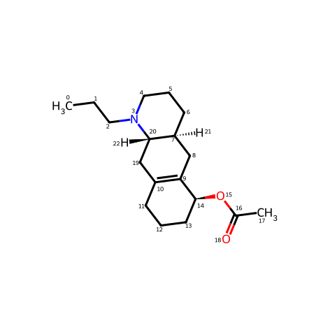 CCCN1CCC[C@H]2CC3=C(CCC[C@@H]3OC(C)=O)C[C@@H]21